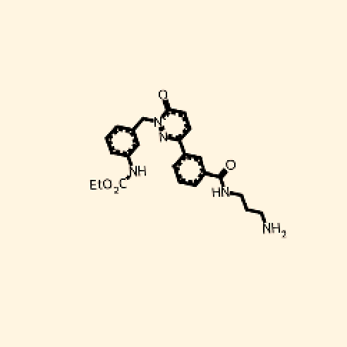 CCOC(=O)Nc1cccc(Cn2nc(-c3cccc(C(=O)NCCCN)c3)ccc2=O)c1